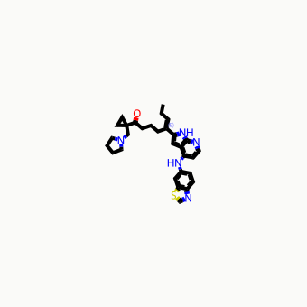 CC/C=C(\CCCC(=O)C1(CN2CCCC2)CC1)c1cc2c(Nc3ccc4ncsc4c3)ccnc2[nH]1